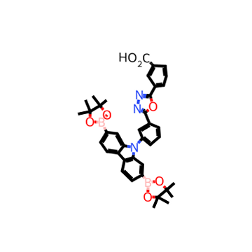 CC1(C)OB(c2ccc3c4ccc(B5OC(C)(C)C(C)(C)O5)cc4n(-c4cccc(-c5nnc(-c6cccc(C(=O)O)c6)o5)c4)c3c2)OC1(C)C